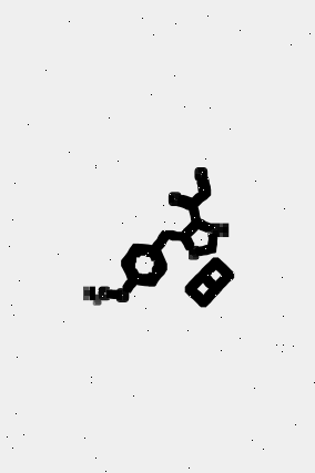 C1CC2CCC12.COc1ccc(CC2SCNC2C(=O)C=O)cc1